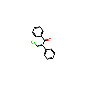 O=C(C(=CCl)c1ccccc1)c1ccccc1